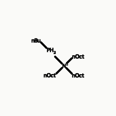 CCCCCCCC[N+](C)(CCCCCCCC)CCCCCCCC.CCCCP